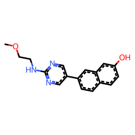 COCCNc1ncc(-c2ccc3ccc(O)cc3c2)cn1